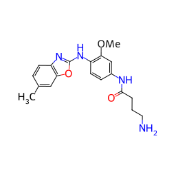 COc1cc(NC(=O)CCCN)ccc1Nc1nc2ccc(C)cc2o1